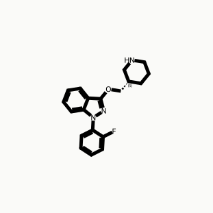 Fc1ccccc1-n1nc(OC[C@H]2CCCNC2)c2ccccc21